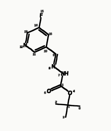 CC(C)(C)OC(=O)NN=Cc1cncc(F)c1